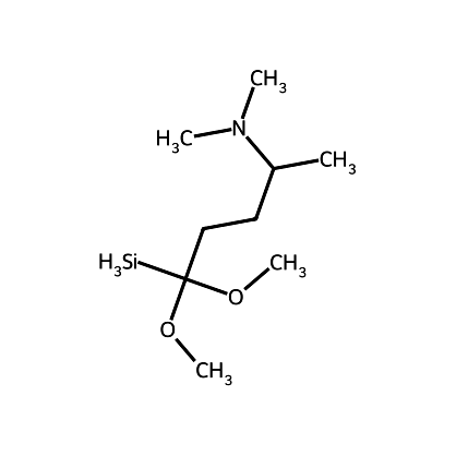 COC([SiH3])(CCC(C)N(C)C)OC